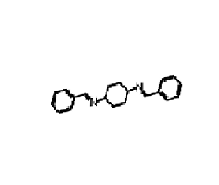 C(=NC1CCC(N=Cc2ccccc2)CC1)c1ccccc1